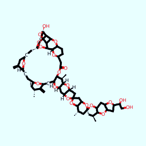 C=C1C2C[C@@H]3O[C@H]4C[C@H]5OC6(CC7O[C@]8(C[C@H](C)C9OC%10CC(C(O)CO)OC%10CC9O8)C[C@H](C)C7O6)C[C@H]5O[C@H]4[C@H](C)C3OC(=O)CC3CCC4OC5C6C(O[C@@]7(CCC8CC(=C)[C@H](CC[C@@H](C[C@H]1C)O2)O8)C[C@@]1(O)OC6(O7)C51)[C@H]4O3